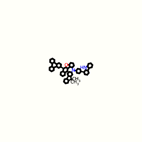 CC1(C)c2ccccc2-c2ccc(N(c3ccc(-c4cccc5c4[nH]c4ccccc45)cc3)c3cccc4oc5c(-c6ccc7c8ccccc8c8ccccc8c7c6)c6ccccc6cc5c34)cc21